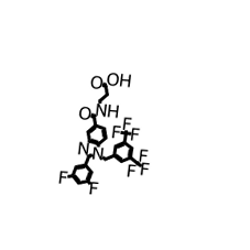 O=C(O)CCNC(=O)c1ccc2c(c1)nc(-c1cc(F)cc(F)c1)n2Cc1cc(C(F)(F)F)cc(C(F)(F)F)c1